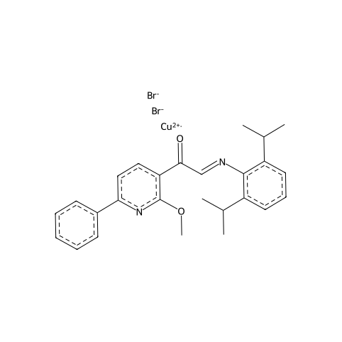 COc1nc(-c2ccccc2)ccc1C(=O)C=Nc1c(C(C)C)cccc1C(C)C.[Br-].[Br-].[Cu+2]